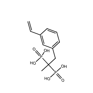 C=Cc1cccc(CC(C)(P(=O)(O)O)P(=O)(O)O)c1